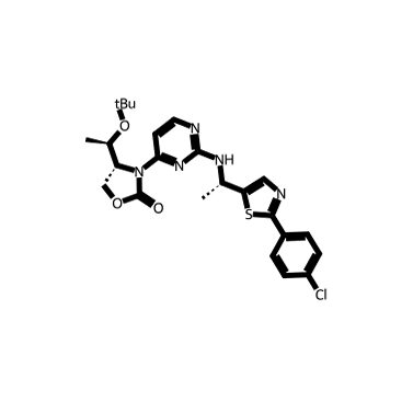 C[C@H](Nc1nccc(N2C(=O)OC[C@@H]2[C@@H](C)OC(C)(C)C)n1)c1cnc(-c2ccc(Cl)cc2)s1